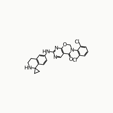 O=C1c2cnc(Nc3ccc4c(c3)CCNC43CC3)nc2OCN1c1c(Cl)cccc1Cl